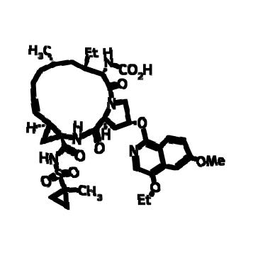 CCOc1cnc(O[C@@H]2C[C@H]3C(=O)N[C@]4(C(=O)NS(=O)(=O)C5(C)CC5)C[C@H]4C=CCC[C@H](C)C[C@@H](CC)[C@H](NC(=O)O)C(=O)N3C2)c2ccc(OC)cc12